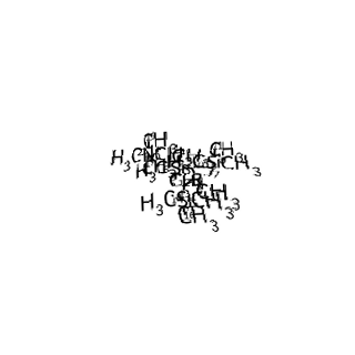 C[B-](C[Si](C)(C)C)(C[Si](C)(C)C)C[Si](C)(C)C.C[N+](C)(C)C